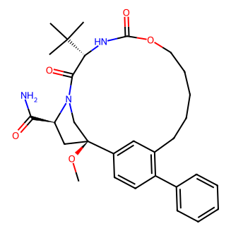 CO[C@@]12C[C@@H](C(N)=O)N(C1)C(=O)[C@H](C(C)(C)C)NC(=O)OCCCCCc1cc2ccc1-c1ccccc1